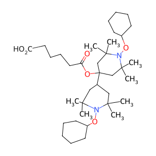 CC1(C)CC(C2(OC(=O)CCCCC(=O)O)CC(C)(C)N(OC3CCCCC3)C(C)(C)C2)CC(C)(C)N1OC1CCCCC1